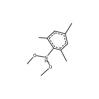 CO[SiH](OC)c1c(C)cc(C)cc1C